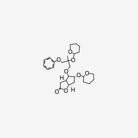 CC(COc1ccccc1)(COC1[C@H](OC2CCCCO2)C[C@H]2OC(=O)C[C@@H]12)OC1CCCCO1